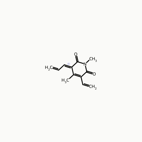 C=C/C=C1/C(=O)N(C)C(=O)C(C=C)=C1C